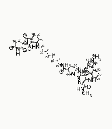 CNC(=O)c1nnc(Nc2ccc(C(=O)NCCCCCCCCNc3cccc4c3C(=O)N(C3CCC(=O)NC3=O)C4=O)cn2)cc1Nc1cccc(-c2ncn(C)n2)c1OC